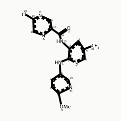 COc1ccc(Nc2ncc(C(F)(F)F)cc2NC(=O)c2cnc(Cl)cn2)cn1